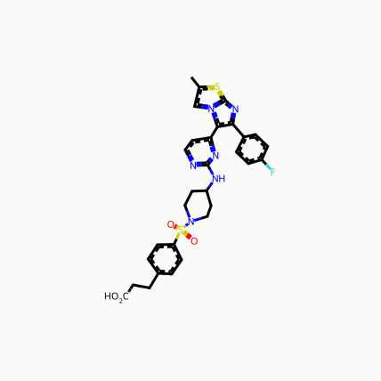 Cc1cn2c(-c3ccnc(NC4CCN(S(=O)(=O)c5ccc(CCC(=O)O)cc5)CC4)n3)c(-c3ccc(F)cc3)nc2s1